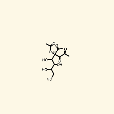 CC(=O)O[C@@](C(C)=O)(C(=O)C(C)=O)C(O)C(O)C(O)CO